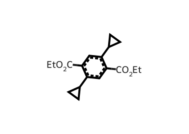 CCOC(=O)c1cc(C2CC2)c(C(=O)OCC)cc1C1CC1